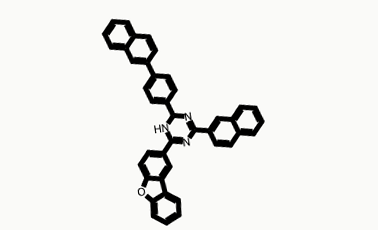 c1ccc2cc(C3=NC(c4ccc(-c5ccc6ccccc6c5)cc4)NC(c4ccc5oc6ccccc6c5c4)=N3)ccc2c1